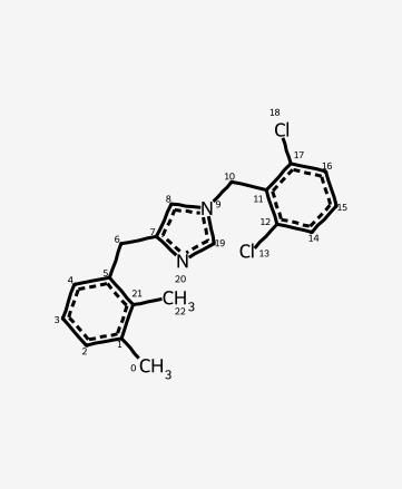 Cc1cccc(Cc2cn(Cc3c(Cl)cccc3Cl)cn2)c1C